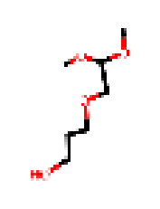 COC(COCCCO)OC